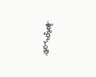 Cc1cnc(N2CCC([C@H]3C[C@H]3CCOc3ccc(CC(=O)N4Cc5nc(C)[nH]c5C4)c(F)c3)CC2)nc1